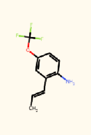 CC=Cc1cc(OC(F)(F)F)ccc1N